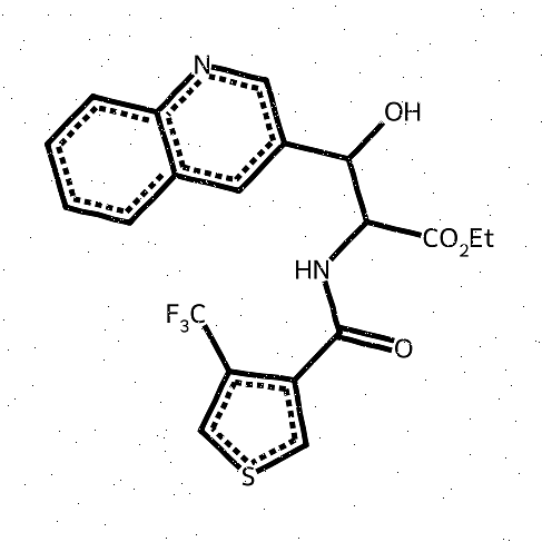 CCOC(=O)C(NC(=O)c1cscc1C(F)(F)F)C(O)c1cnc2ccccc2c1